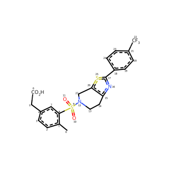 Cc1ccc(CC(=O)O)cc1S(=O)(=O)N1CCc2nc(-c3ccc(C(F)(F)F)cc3)sc2C1